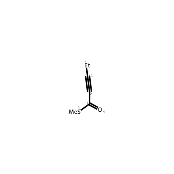 CCC#CC(=O)SC